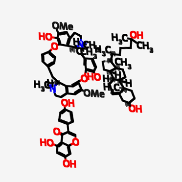 COc1cc2c3cc1Oc1cc(ccc1O)C[C@@H]1c4c(cc(OC)c(O)c4Oc4ccc(cc4)C[C@@H]3N(C)CC2)CC[N+]1(C)C.C[C@H](CCCC(C)(C)O)[C@H]1CC[C@H]2[C@@H]3CC=C4C[C@@H](O)CC[C@]4(C)[C@H]3CC[C@]12C.O=c1c(-c2ccc(O)cc2)coc2cc(O)cc(O)c12